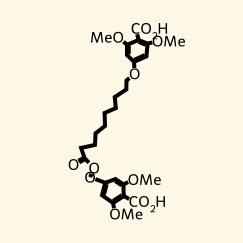 COc1cc(OCCCCCCCCCC(=O)OOc2cc(OC)c(C(=O)O)c(OC)c2)cc(OC)c1C(=O)O